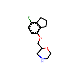 Fc1ccc(OCC2CNCCO2)c2c1CCC2